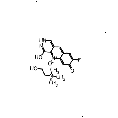 C[N+](C)(C)CCO.O=c1cc2c(cc1F)cc1c[nH]nc(O)c1[n+]2[O-]